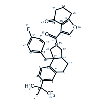 CC(F)(c1ccc2c(c1)CCC1CN(C(=O)c3coc4c3C(=O)CCC4)CC21Cc1ccc(F)cc1)C(F)(F)F